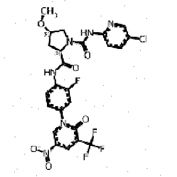 CO[C@@H]1C[C@H](C(=O)Nc2ccc(-n3cc([N+](=O)[O-])cc(C(F)(F)F)c3=O)cc2F)N(C(=O)Nc2ccc(Cl)cn2)C1